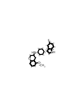 COc1cccc2c1CC(N[C@H]1CC[C@@H](c3c[nH]c4ccc(F)cc43)CC1)CO2